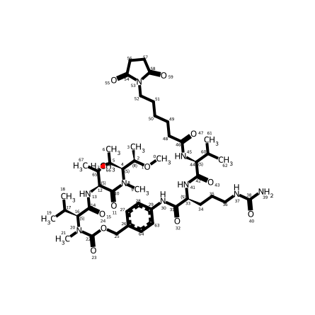 CO[C@H](C)[C@H](C(C)C)N(C)C(=O)[C@@H](NC(=O)[C@H](C(C)C)N(C)C(=O)OCc1ccc(NC(=O)[C@H](CCCNC(N)=O)NC(=O)[C@@H](NC(=O)CCCCCN2C(=O)CCC2=O)C(C)C)cc1)C(C)C